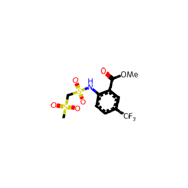 COC(=O)c1cc(C(F)(F)F)ccc1NS(=O)(=O)CS(C)(=O)=O